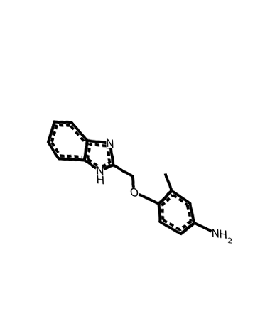 Cc1cc(N)ccc1OCc1nc2ccccc2[nH]1